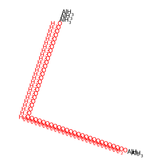 O.O.O.O.O.O.O.O.O.O.O.O.O.O.O.O.O.O.O.O.O.O.O.O.O.O.O.O.O.O.O.O.O.O.O.O.O.O.O.O.O.O.O.O.O.O.O.O.O.O.[AlH3].[AlH3].[AlH3].[AlH3].[AlH3]